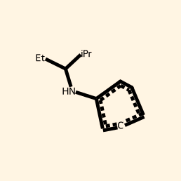 CCC(Nc1ccccc1)C(C)C